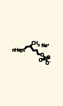 CCCCCCCCC(C)CCCOS(=O)(=O)[O-].[Na+]